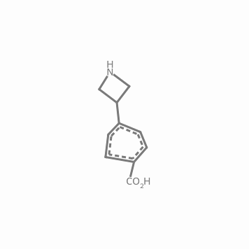 O=C(O)c1ccc(C2CNC2)cc1